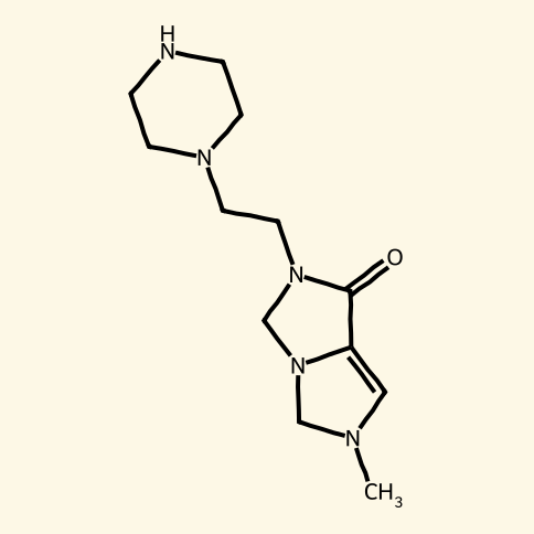 CN1C=C2C(=O)N(CCN3CCNCC3)CN2C1